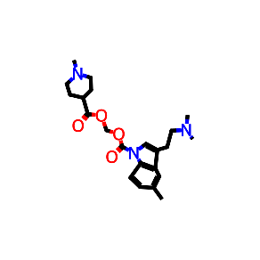 Cc1ccc2c(c1)c(CCN(C)C)cn2C(=O)OCOC(=O)C1CCN(C)CC1